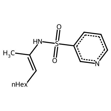 CCCCCCC=C(C)NS(=O)(=O)c1cccnc1